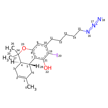 CC1=CC[C@@H]2[C@@H](C1)c1c(cc(CCCCCN=[N+]=[N-])c(I)c1O)OC2(C)C